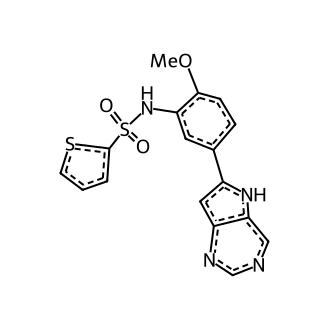 COc1ccc(-c2cc3ncncc3[nH]2)cc1NS(=O)(=O)c1cccs1